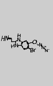 [N-]=[N+]=NCOc1cc2c(cc1Br)NC(CC=N)N2